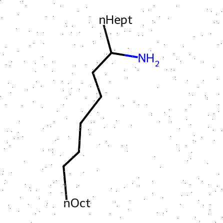 CCCCCCCCCCCCCC(N)CCCCCCC